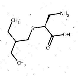 CCC(CC)CS[C@@H](CN)C(=O)O